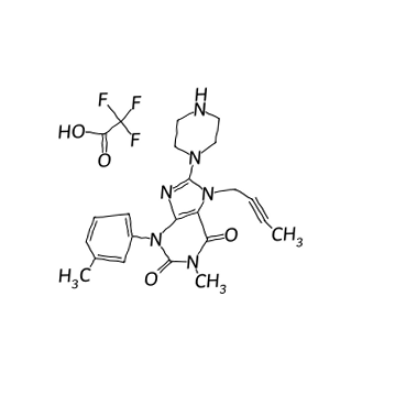 CC#CCn1c(N2CCNCC2)nc2c1c(=O)n(C)c(=O)n2-c1cccc(C)c1.O=C(O)C(F)(F)F